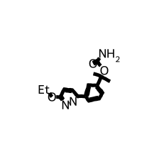 CCOc1ccc(-c2cccc(C(C)(C)OC(N)=O)c2)nn1